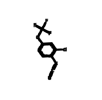 O=C=Nc1ccc(OC(F)(F)F)cc1Cl